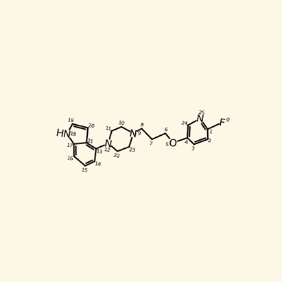 Fc1ccc(OCCCN2CCN(c3cccc4[nH]ccc34)CC2)cn1